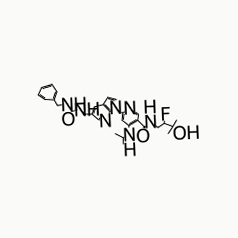 CC(C)Nc1cc(-n2ccc3cc(CNC(=O)NCc4ccccc4)cnc32)ncc1C(=O)NCC(F)C(C)(C)O